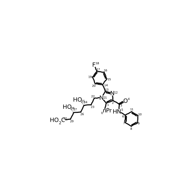 CCCc1c(C(=O)Nc2ccccc2)nc(-c2ccc(F)cc2)n1CC[C@@H](O)C[C@@H](O)CC(=O)O